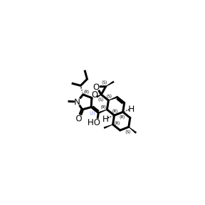 CCC(C)[C@@H]1C(=O)/C(=C(/O)[C@@H]2[C@@H]3[C@H](C)C[C@H](C)C[C@@H]3C=C[C@@H]2[C@]2(C)O[C@H]2C)C(=O)N1C